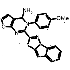 COc1ccc(N2C(C3=NC4C(=Cc5ccccc54)S3)=Nc3occc3C2N)cc1